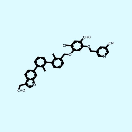 Cc1c(COc2cc(OCc3cncc(C#N)c3)c(C=O)cc2Cl)cccc1-c1cccc(-c2ccc3c(CC=O)coc3c2)c1C